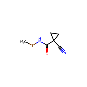 CSNC(=O)C1(C#N)CC1